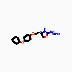 N=NNC1N[C@@H](CCOc2ccc(Oc3ccccc3)cc2)CO1